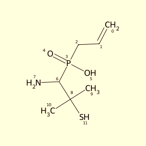 C=CCP(=O)(O)C(N)C(C)(C)S